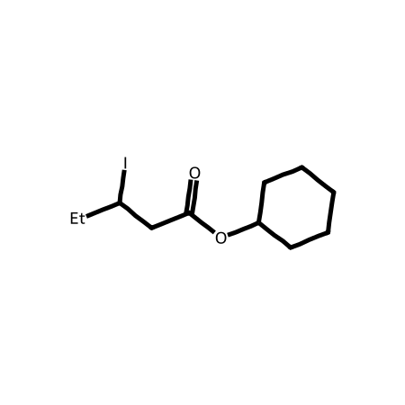 CCC(I)CC(=O)OC1CCCCC1